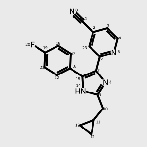 N#Cc1ccnc(-c2nc(CC3CC3)[nH]c2-c2ccc(F)cc2)c1